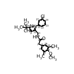 COc1c(C)cc(CC(=O)NCc2cc(C(C)(C)C)nn2-c2cccc(Cl)c2)cc1C